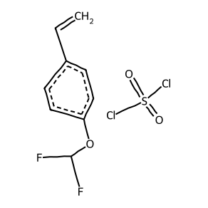 C=Cc1ccc(OC(F)F)cc1.O=S(=O)(Cl)Cl